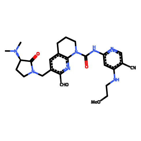 COCCNc1cc(NC(=O)N2CCCc3cc(CN4CC[C@@H](N(C)C)C4=O)c(C=O)nc32)ncc1C#N